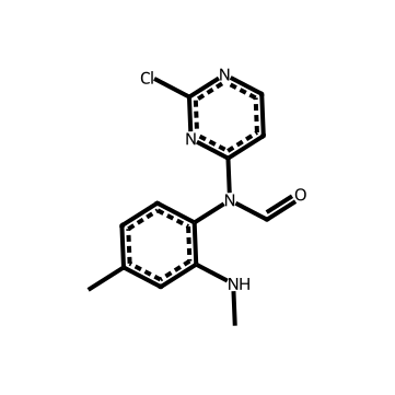 CNc1cc(C)ccc1N(C=O)c1ccnc(Cl)n1